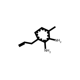 C=CCc1ccc(C)c(N)c1N